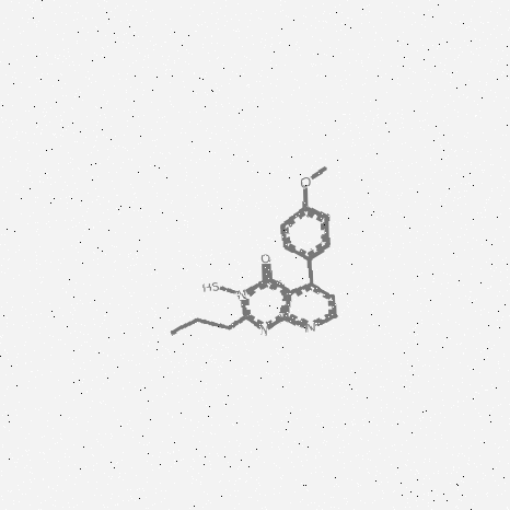 CCCc1nc2nccc(-c3ccc(OC)cc3)c2c(=O)n1S